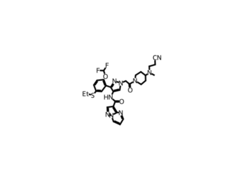 CCSc1ccc(OC(F)F)c(-c2nn(CC(=O)N3CCC(N(C)CCC#N)CC3)cc2NC(=O)c2cnn3cccnc23)c1